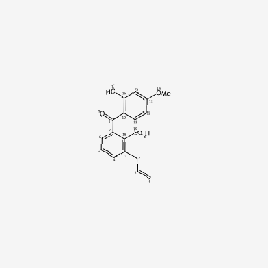 C=CCc1cccc(C(=O)c2ccc(OC)cc2O)c1S(=O)(=O)O